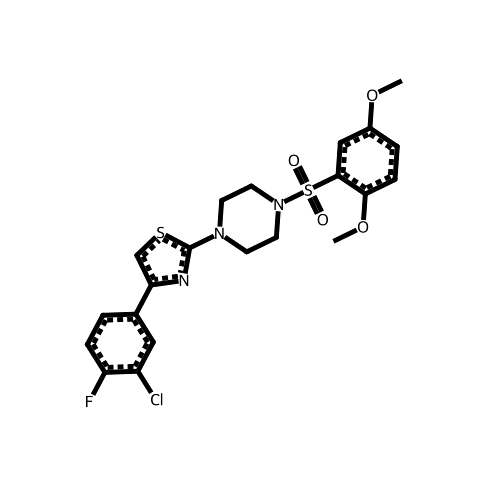 COc1ccc(OC)c(S(=O)(=O)N2CCN(c3nc(-c4ccc(F)c(Cl)c4)cs3)CC2)c1